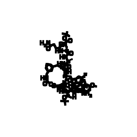 COc1ccc(C[C@H](NC(=O)[C@@H](NC(=O)[C@@H]2[C@@H]3CCN2C(=O)[C@H](Cc2c[nH]c4ccc(F)cc24)NC(=O)[C@@H](NC(=O)[C@@H](C)NC(=O)[C@H](CNC(=O)OC(C)(C)C)NC(=O)CCC(N)=O)Cc2cccc(c2)CNC(=O)CO3)[C@@H](C)OC(C)(C)C)C(=O)N2CCC[C@@]2(C)C(N)=O)cc1